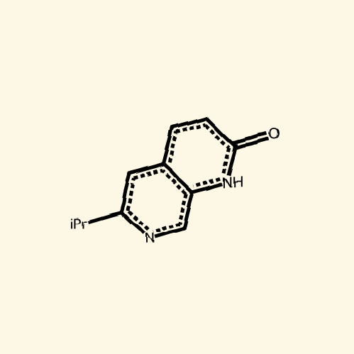 CC(C)c1cc2ccc(=O)[nH]c2cn1